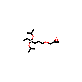 CC[Si](CCCOCC1CO1)(OC(C)C)OC(C)C